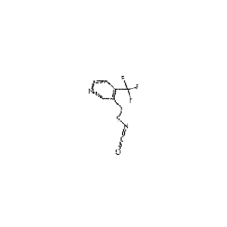 O=C=NSCc1cnccc1C(F)(F)F